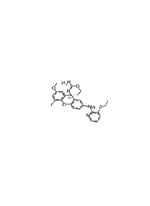 CCOc1cccnc1Nc1ccc2c(c1)[C@@]1(CCOC(N)=N1)c1cc(OC)cc(F)c1O2